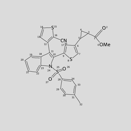 COC(=O)C1CC1c1csc(-c2c(-c3ccsc3C#N)c3ccccc3n2S(=O)(=O)c2ccc(C)cc2)c1